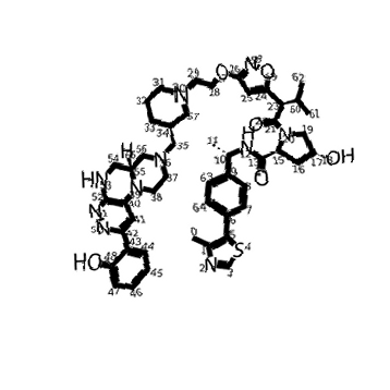 Cc1ncsc1-c1ccc([C@H](C)NC(=O)[C@@H]2C[C@@H](O)CN2C(=O)[C@@H](c2cc(OCCN3CCC[C@H](CN4CCN5c6cc(-c7ccccc7O)nnc6NC[C@@H]5C4)C3)no2)C(C)C)cc1